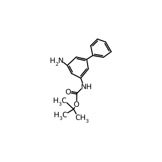 CC(C)(C)OC(=O)Nc1cc(N)cc(-c2ccccc2)c1